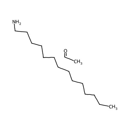 CC=O.CCCCCCCCCCCCCCN